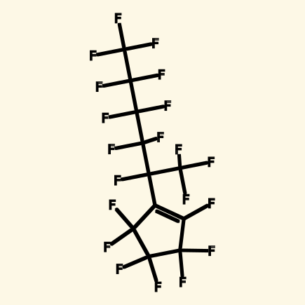 FC1=C(C(F)(C(F)(F)F)C(F)(F)C(F)(F)C(F)(F)C(F)(F)F)C(F)(F)C(F)(F)C1(F)F